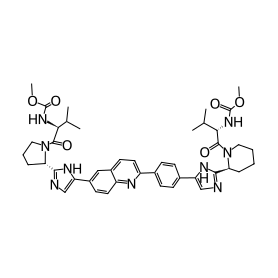 COC(=O)N[C@H](C(=O)N1CCCC[C@H]1c1ncc(-c2ccc(-c3ccc4cc(-c5cnc([C@@H]6CCCN6C(=O)[C@@H](NC(=O)OC)C(C)C)[nH]5)ccc4n3)cc2)[nH]1)C(C)C